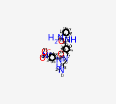 CN(C)CCCN(Cc1ccc(C(=O)Nc2ccccc2N)cc1)C(=O)Nc1ccc([N+](=O)[O-])cc1